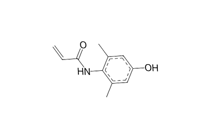 C=CC(=O)Nc1c(C)cc(O)cc1C